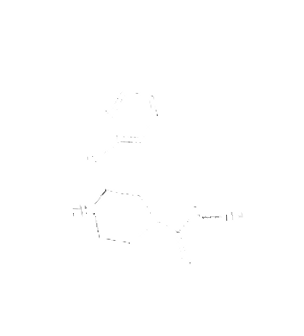 CC(C)(C)OC(=O)N1CCNC(Nc2ccccn2)C1